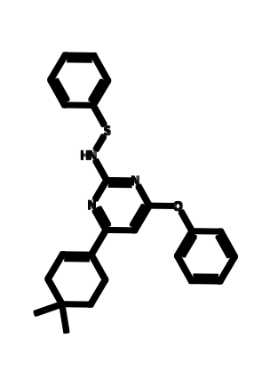 CC1(C)CC=C(c2cc(Oc3ccccc3)nc(NSc3ccccc3)n2)CC1